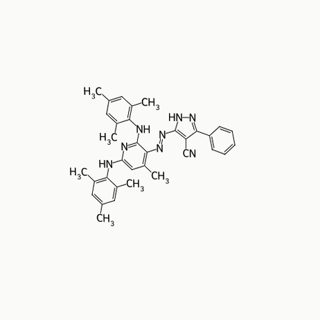 Cc1cc(C)c(Nc2cc(C)c(/N=N/c3[nH]nc(-c4ccccc4)c3C#N)c(Nc3c(C)cc(C)cc3C)n2)c(C)c1